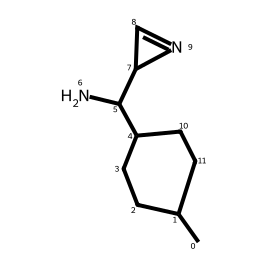 CC1CCC(C(N)C2C=N2)CC1